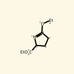 CCOC(=O)C1CCC(OCC)=N1